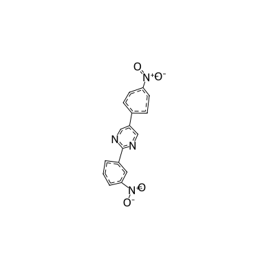 O=[N+]([O-])c1ccc(-c2cnc(-c3cccc([N+](=O)[O-])c3)nc2)cc1